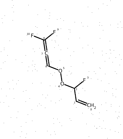 C=CC(F)OOC=C=C(F)F